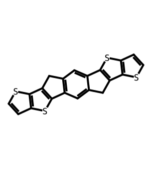 c1cc2sc3c(c2s1)Cc1cc2c(cc1-3)Cc1c-2sc2ccsc12